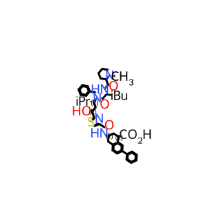 CCC(C)C(NC(=O)C1CCCCN1C)C(=O)N(Cc1ccccc1)[C@H](C[C@@H](O)c1nc(C(=O)N[C@H]2Cc3ccc(-c4ccccc4)cc3[C@H](C(=O)O)C2)cs1)C(C)C